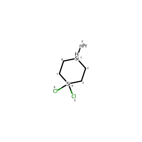 CCC[SiH]1CC[Si](Cl)(Cl)CC1